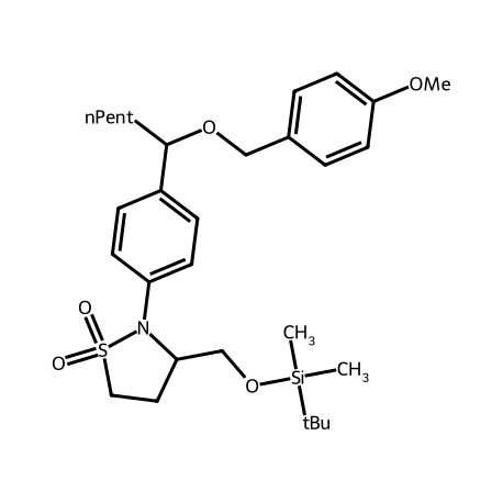 CCCCCC(OCc1ccc(OC)cc1)c1ccc(N2C(CO[Si](C)(C)C(C)(C)C)CCS2(=O)=O)cc1